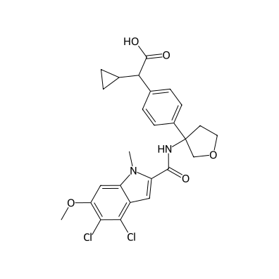 COc1cc2c(cc(C(=O)NC3(c4ccc(C(C(=O)O)C5CC5)cc4)CCOC3)n2C)c(Cl)c1Cl